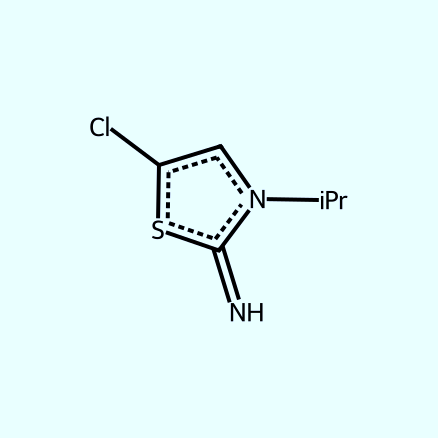 CC(C)n1cc(Cl)sc1=N